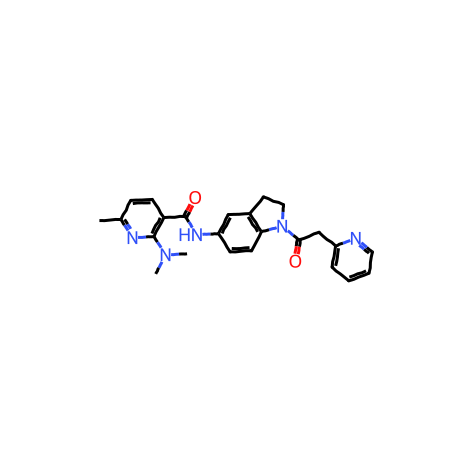 Cc1ccc(C(=O)Nc2ccc3c(c2)CCN3C(=O)Cc2ccccn2)c(N(C)C)n1